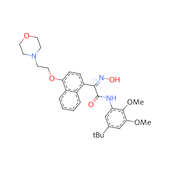 COc1cc(C(C)(C)C)cc(NC(=O)/C(=N\O)c2ccc(OCCN3CCOCC3)c3ccccc23)c1OC